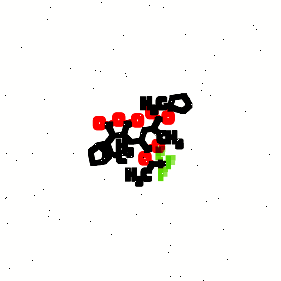 CC(CC(CC1C(=O)OC(=O)C1C1C2CCC(C2)C1C)C(=O)OC(C)C(F)(F)F)C(=O)OC1(C)CCCC1